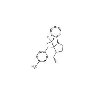 Cc1ccc2c(c1)C(=O)N1CCN(c3ccccc3)C1(C(F)(F)F)C2